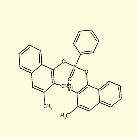 Cc1cc2ccccc2c(OP(=O)(Oc2c(C)c(C)cc3ccccc23)c2ccccc2)c1C